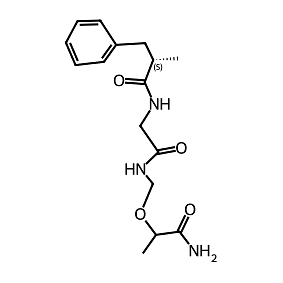 CC(OCNC(=O)CNC(=O)[C@@H](C)Cc1ccccc1)C(N)=O